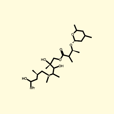 CCCC(O)C[C@@H](C)CN(C)C(C)C(O)[C@](C)(O)COC(=O)C(C)[C@H](C)O[C@H]1CC(C)CC(C)O1